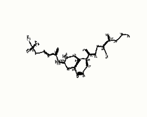 C=C(CCCC(F)(F)F)NC1BCc2c(cccc2C(=C)CC/C(C)=C(\C)CCC)C1